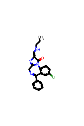 CCCNC=C1N=C2CN=C(c3ccccc3)c3cc(Cl)ccc3N2C1=O